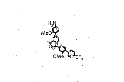 COc1cc(C(=O)N2CCN(c3cnc(N)cc3OC)C[C@@H]2[C@H](C)O)ncc1-c1ccc(C(F)(F)F)cc1